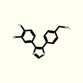 NCc1ccc(-c2s[c]nc2-c2ccc(Cl)c(Cl)c2)cc1